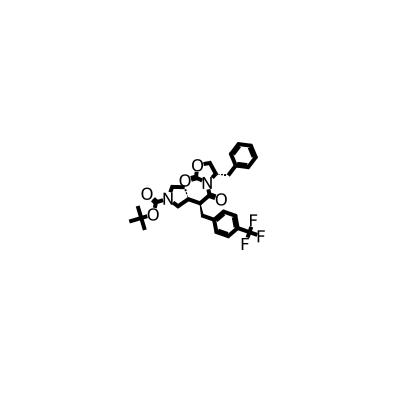 CC(C)(C)OC(=O)N1CC[C@H]([C@H](Cc2ccc(C(F)(F)F)cc2)C(=O)N2C(=O)OC[C@@H]2Cc2ccccc2)C1